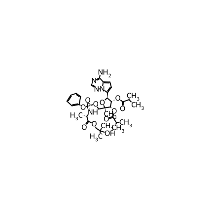 CC(C)C(=O)O[C@H]1[C@H](c2ccc3c(N)ncnn23)O[C@](C)(COP(=O)(N[C@@H](C)C(=O)OCC(C)(C)O)Oc2ccccc2)[C@H]1OC(=O)C(C)C